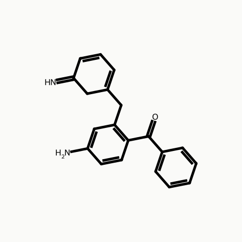 N=C1C=CC=C(Cc2cc(N)ccc2C(=O)c2ccccc2)C1